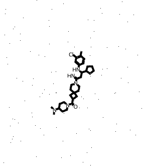 Cc1ccc(NC(CC(=N)N2CCC3(CC2)CC(C(=O)N2CCC(N(C)C)CC2)C3)C2CCCC2)cc1Cl